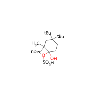 CCCCCCCCCCC1(C)CC(C(C)(C)C)(C(C)(C)C)CCC1(O)OS(=O)(=O)O